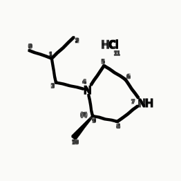 CC(C)CN1CCNC[C@H]1C.Cl